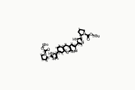 CC(C)(C)OC(=O)N1CCC[C@@H]1c1ncc(-c2cc3c(nn2)Oc2cc(-c4cnc([C@@H]5CCCN5C(=O)OC(C)(C)C)[nH]4)ccc2C3)[nH]1